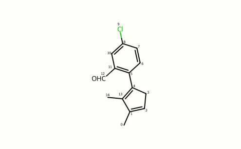 CC1=CCC(c2ccc(Cl)cc2C=O)=C1C